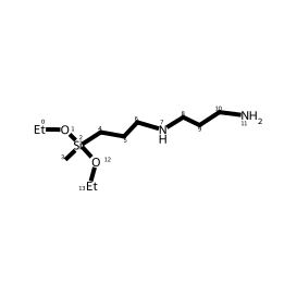 CCO[Si](C)(CCCNCCCN)OCC